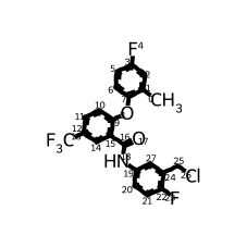 Cc1cc(F)ccc1Oc1ccc(C(F)(F)F)cc1C(=O)Nc1ccc(F)c(CCl)c1